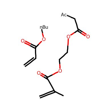 C=C(C)C(=O)OCCOC(=O)CC(C)=O.C=CC(=O)OCCCC